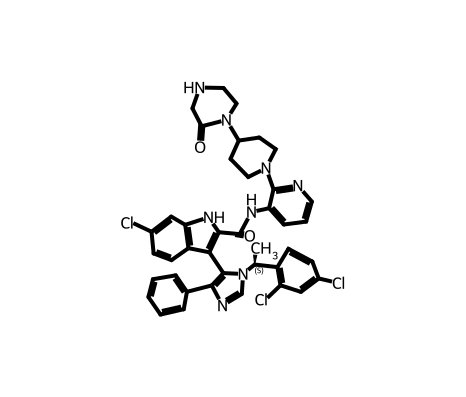 C[C@@H](c1ccc(Cl)cc1Cl)n1cnc(-c2ccccc2)c1-c1c(C(=O)Nc2cccnc2N2CCC(N3CCNCC3=O)CC2)[nH]c2cc(Cl)ccc12